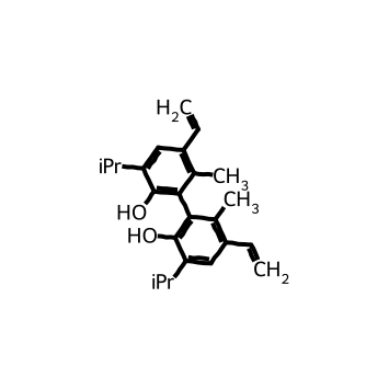 C=Cc1cc(C(C)C)c(O)c(-c2c(C)c(C=C)cc(C(C)C)c2O)c1C